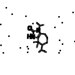 CC(C)C1CCCc2c([nH]c(=O)n2C(C)C)C1(C)C